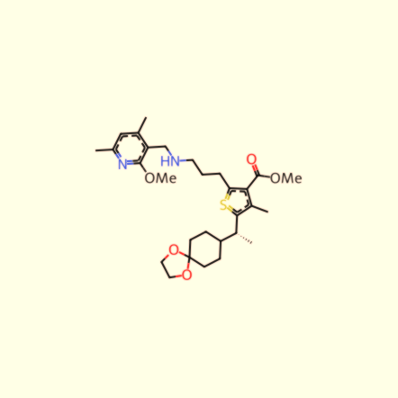 COC(=O)c1c(CCCNCc2c(C)cc(C)nc2OC)sc([C@H](C)C2CCC3(CC2)OCCO3)c1C